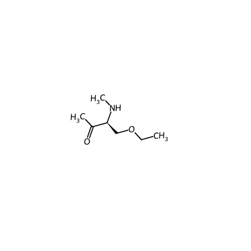 CCOC[C@H](NC)C(C)=O